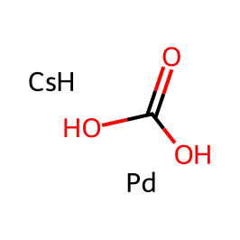 O=C(O)O.[CsH].[Pd]